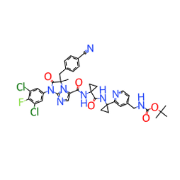 CC(C)(C)OC(=O)NCc1ccnc(C2(NC(=O)C3(NC(=O)c4cnc5n4C(C)(Cc4ccc(C#N)cc4)C(=O)N5c4cc(Cl)c(F)c(Cl)c4)CC3)CC2)c1